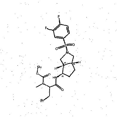 CC(C)CC(C(=O)N[C@@H]1CC[C@H]2CN(S(=O)(=O)c3ccc(F)c(F)c3)C[C@H]21)N(C)C(=O)OC(C)(C)C